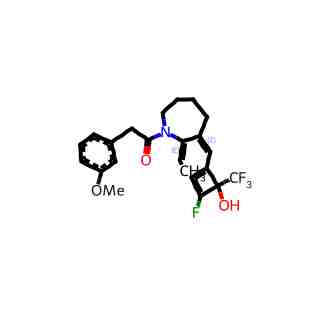 C/C=C1\C(=C/C2=C=C(F)C2(O)C(F)(F)F)CCCCN1C(=O)Cc1cccc(OC)c1